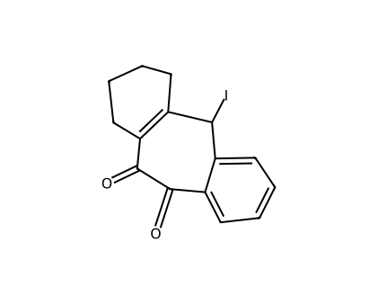 O=C1C(=O)c2ccccc2C(I)C2=C1CCCC2